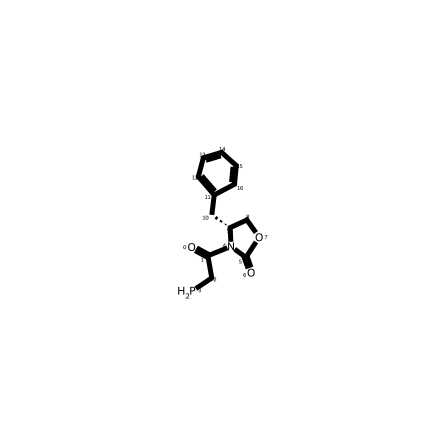 O=C(CP)N1C(=O)OC[C@H]1Cc1ccccc1